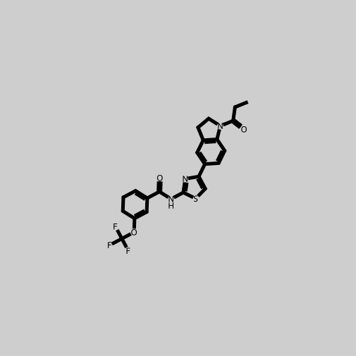 CCC(=O)N1CCc2cc(-c3csc(NC(=O)C4=CCCC(OC(F)(F)F)=C4)n3)ccc21